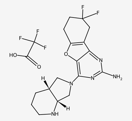 Nc1nc(N2C[C@H]3CCCN[C@H]3C2)c2oc3c(c2n1)CC(F)(F)CC3.O=C(O)C(F)(F)F